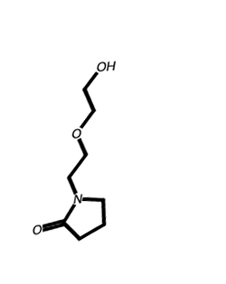 O=C1CCCN1CCOCCO